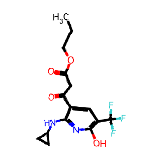 CCCOC(=O)CC(=O)c1cc(C(F)(F)F)c(O)nc1NC1CC1